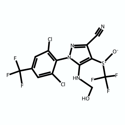 N#Cc1nn(-c2c(Cl)cc(C(F)(F)F)cc2Cl)c(NCO)c1[S+]([O-])C(F)(F)F